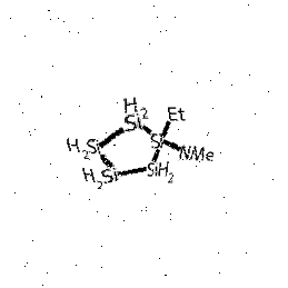 CC[Si]1(NC)[SiH2][SiH2][SiH2][SiH2]1